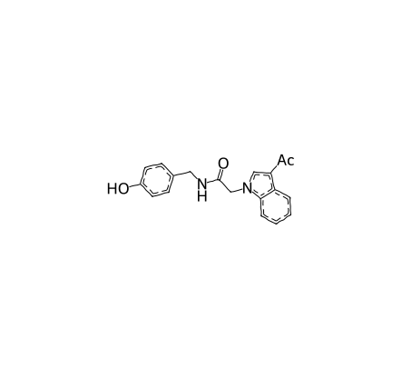 CC(=O)c1cn(CC(=O)NCc2ccc(O)cc2)c2ccccc12